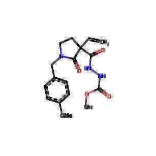 C=CC1(C(=O)NNC(=O)OC(C)(C)C)CCN(Cc2ccc(OC)cc2)C1=O